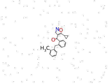 Cc1ccccc1Cc1ccccc1C(=O)c1cnoc1C1CC1